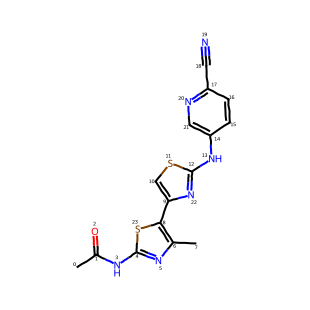 CC(=O)Nc1nc(C)c(-c2csc(Nc3ccc(C#N)nc3)n2)s1